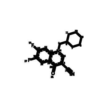 N#Cc1cn(CC2CCCCC2)c2cc(F)c(F)cc2c1=O